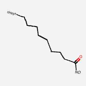 CCCCCCCCCCCCCCCC(=O)N=O